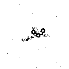 C=CC(=O)OCCn1c2ccc(/C(=N/OC(C)=O)c3ccccc3C)cc2c2cc([N+](=O)[O-])ccc21